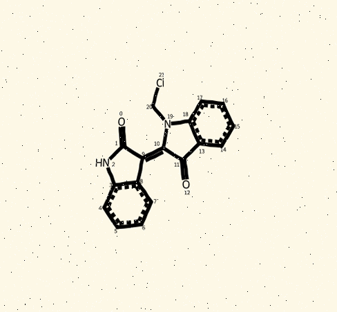 O=C1Nc2ccccc2C1=C1C(=O)c2ccccc2N1CCl